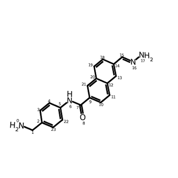 NCc1ccc(NC(=O)c2ccc3cc(C=NN)ccc3c2)cc1